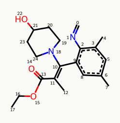 C=Nc1c(C)cc(C)cc1/C(=C(\C)C(=O)OCC)N1CCC(O)CC1